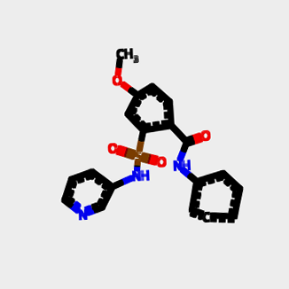 COc1ccc(C(=O)Nc2ccccc2)c(S(=O)(=O)Nc2cccnc2)c1